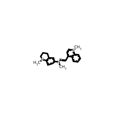 CN1CCCc2cc(N(C)/N=C/c3cc[n+](C)c4ccccc34)ccc21